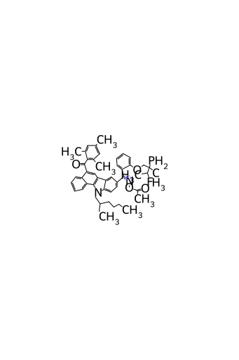 CCCCC(CC)Cn1c2ccc(/C(=N\OC(C)=O)c3ccccc3OCC(C)(P)C(C)F)cc2c2cc(C(=O)c3c(C)cc(C)cc3C)c3ccccc3c21